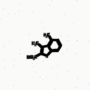 CCOC(=O)c1sc2cccc(C(F)(F)F)c2c1C